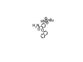 CCCCS(=O)(=O)Nc1ccc(Oc2cccc3ccccc23)c(C(N)=O)c1